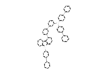 c1ccc(-c2ccc(N(c3ccc(-c4ccccc4)cc3)c3cccc(-c4cccc(-c5cccc6c5c5ccccc5n6-c5ccc(-c6ccccc6)cc5)c4)c3)cc2)cc1